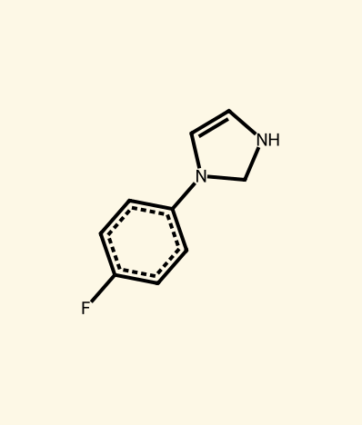 Fc1ccc(N2C=CNC2)cc1